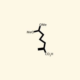 C=C(CCCC(OC)OC)C(=O)O